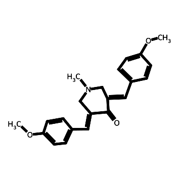 COc1ccc(/C=C2\CN(C)C/C(=C\c3ccc(OC)cc3)C2=O)cc1